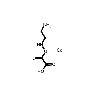 NCCNOC(=O)C(=O)O.[Co]